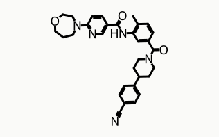 Cc1ccc(C(=O)N2CCC(c3ccc(C#N)cc3)CC2)cc1NC(=O)c1ccc(N2CCCOCC2)nc1